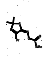 CNC(=O)ON=C1SC(C)(C)N=C1C(C)C